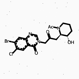 CC(=O)N1CCC[C@H](O)[C@H]1CC(=O)Cn1cnc2cc(Br)c(Cl)cc2c1=O